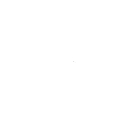 CCCCCCCCCCCCC1=NC(CCCC)CO1